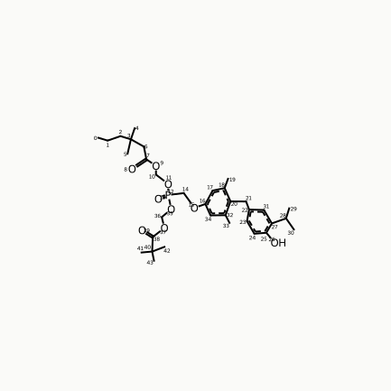 CCCC(C)(C)CC(=O)OCOP(=O)(COc1cc(C)c(Cc2ccc(O)c(C(C)C)c2)c(C)c1)OCOC(=O)C(C)(C)C